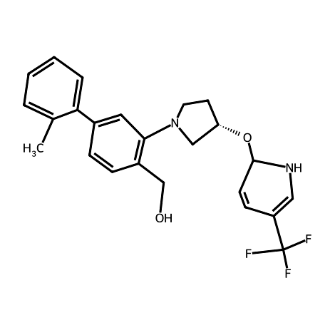 Cc1ccccc1-c1ccc(CO)c(N2CC[C@H](OC3C=CC(C(F)(F)F)=CN3)C2)c1